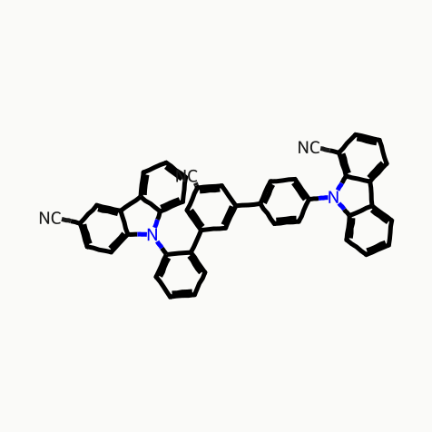 N#Cc1cc(-c2ccc(-n3c4ccccc4c4cccc(C#N)c43)cc2)cc(-c2ccccc2-n2c3ccccc3c3cc(C#N)ccc32)c1